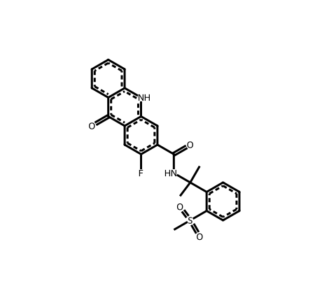 CC(C)(NC(=O)c1cc2[nH]c3ccccc3c(=O)c2cc1F)c1ccccc1S(C)(=O)=O